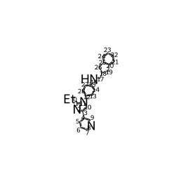 CCc1nc(-c2cccnc2)cn1-c1ccc(NCC2Cc3ccccc3C2)cc1